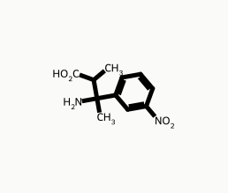 CC(C(=O)O)C(C)(N)c1cccc([N+](=O)[O-])c1